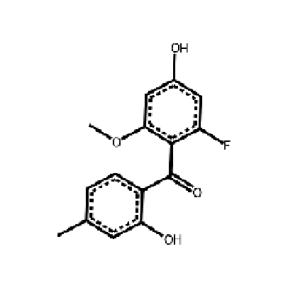 COc1cc(O)cc(F)c1C(=O)c1ccc(C)cc1O